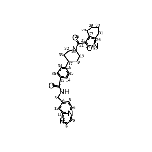 O=C(NCc1ccn2ccnc2c1)c1ccc(C2CCN(C(=O)c3onc4c3CCCC4)CC2)cc1